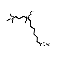 CCCCCCCCCCCCCCCC[N+](C)(C)CCC[Si](C)(C)C.[Cl-]